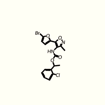 Cc1noc(-c2ccc(Br)o2)c1NC(=O)OC(C)c1ccccc1Cl